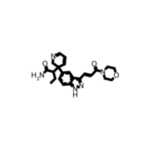 CCC(C(N)=O)C1(c2ccc3[nH]nc(C=CC(=O)N4CCOCC4)c3c2)C=CC=NC1